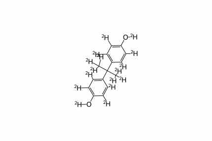 [2H]Oc1c([2H])c([2H])c(C(c2c([2H])c([2H])c(O[2H])c([2H])c2[2H])(C([2H])([2H])[2H])C([2H])([2H])[2H])c([2H])c1[2H]